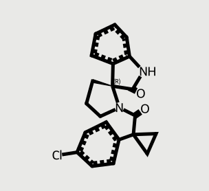 O=C(N1CCC[C@@]12C(=O)Nc1ccccc12)C1(c2ccc(Cl)cc2)CC1